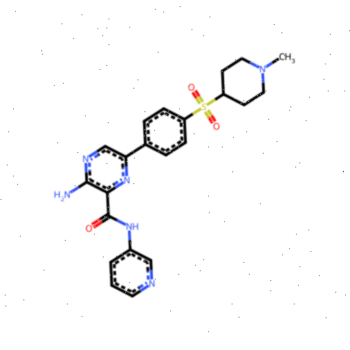 CN1CCC(S(=O)(=O)c2ccc(-c3cnc(N)c(C(=O)Nc4cccnc4)n3)cc2)CC1